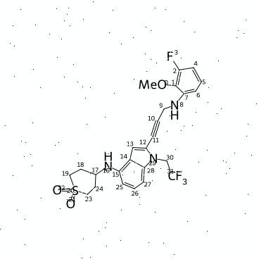 COc1c(F)cccc1NCC#Cc1cc2c(NC3CCS(=O)(=O)CC3)cccc2n1CC(F)(F)F